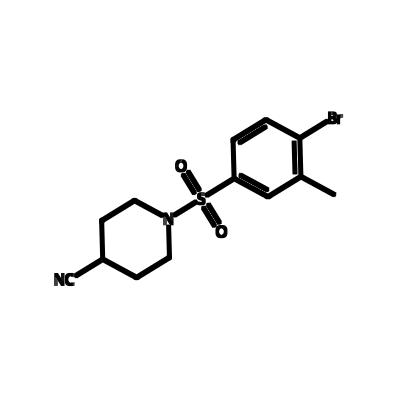 Cc1cc(S(=O)(=O)N2CCC(C#N)CC2)ccc1Br